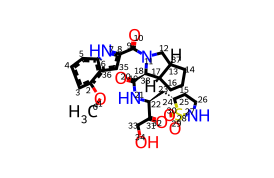 COc1cccc2[nH]c(C(=O)N3C[C@@H]4CCC[C@@H]4[C@H]3C(=O)N[C@@H](C[C@@H]3CCNS3(=O)=O)C(=O)CO)cc12